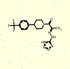 CC(=NNc1nnn[nH]1)C(=O)N1CCC(c2ccc(C(F)(F)F)cc2)CC1